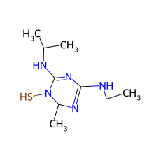 CCNC1=NC(C)N(S)C(NC(C)C)=N1